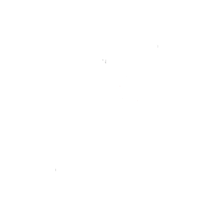 CCCc1ccc(C2CCC(C(=O)Oc3ccc(CCC)cc3C#N)CC2)cc1